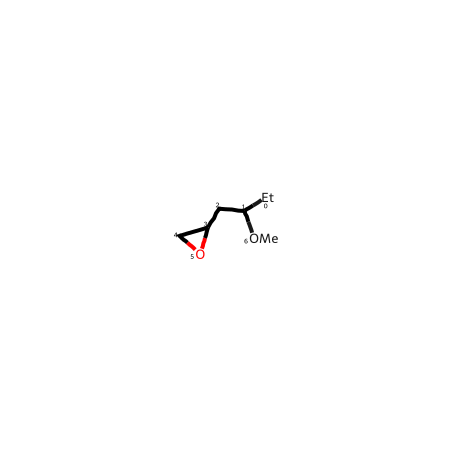 CCC(CC1CO1)OC